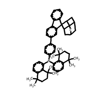 CC1(C)CCC(C)(C)c2c(N(c3ccc(-c4ccc5c(c4)C4(c6ccccc6-5)C5CC6CC7CC4C75C6)cc3)c3cccc4c3C(C)(C)CCC4(C)C)cccc21